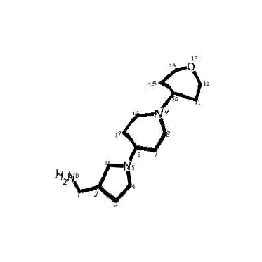 NCC1CCN(C2CCN(C3CCOCC3)CC2)C1